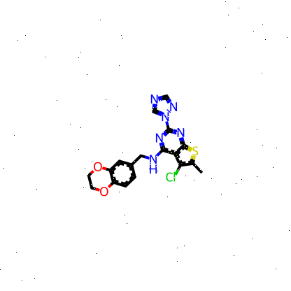 Cc1sc2nc(-n3cncn3)nc(NCc3ccc4c(c3)OCCO4)c2c1Cl